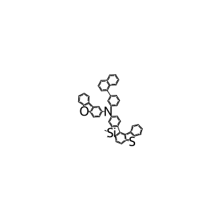 C[Si]1(C)c2cc(N(c3cccc(-c4cccc5ccccc45)c3)c3ccc4oc5ccccc5c4c3)ccc2-c2c1ccc1sc3ccccc3c21